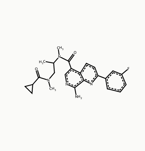 CC(CN(C)C(=O)C1CC1)N(C)C(=O)c1cnc(N)c2nc(-c3cccc(F)c3)ccc12